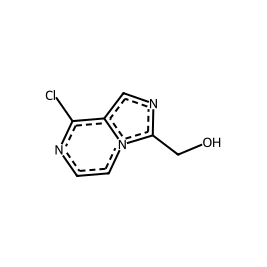 OCc1ncc2c(Cl)nccn12